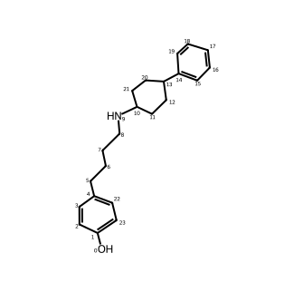 Oc1ccc(CCCCNC2CCC(c3ccccc3)CC2)cc1